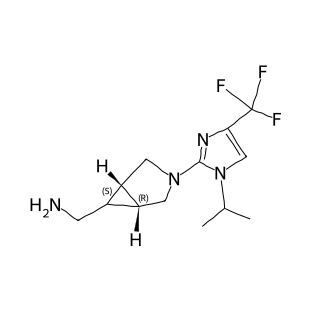 CC(C)n1cc(C(F)(F)F)nc1N1C[C@@H]2C(CN)[C@@H]2C1